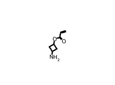 C=CC(=O)OC1CC(N)C1